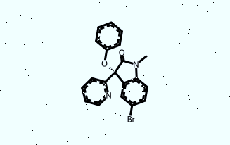 CN1C(=O)[C@](Oc2ccccc2)(c2ccccn2)c2cc(Br)ccc21